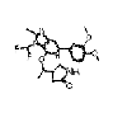 COc1ccc(-c2cc3nc(C)n(C(F)F)c3c(O[C@H](C)[C@H]3CNC(=O)C3)n2)cc1OC